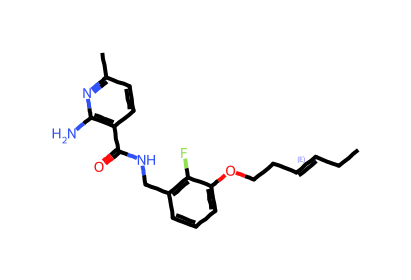 CC/C=C/CCOc1cccc(CNC(=O)c2ccc(C)nc2N)c1F